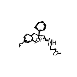 COCCNCCC(O)(Cc1ccc(F)cc1F)c1ccccc1